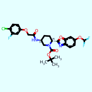 CC(C)(C)OC(=O)N1C[C@@H](NC(=O)COc2ccc(Cl)c(F)c2)CC[C@@H]1c1nc2ccc(OC(F)F)cc2o1